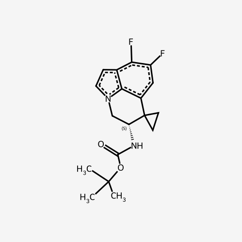 CC(C)(C)OC(=O)N[C@@H]1Cn2ccc3c(F)c(F)cc(c32)C12CC2